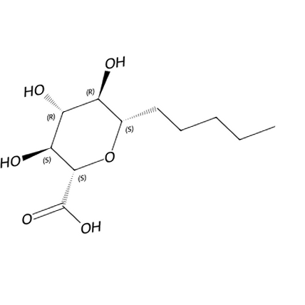 CCCCC[C@@H]1O[C@H](C(=O)O)[C@@H](O)[C@H](O)[C@H]1O